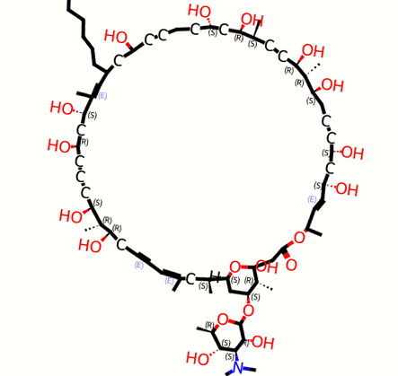 CCCCCCC1/C=C(\C)[C@@H](O)C[C@H](O)CCC[C@H](O)[C@@H](C)[C@H](O)C/C=C/C=C(\C)C[C@H](C)[C@@H]2C[C@H](OC3O[C@H](C)[C@@H](O)[C@H](N(C)C)[C@H]3O)[C@@H](C)C(O)(CC(=O)OC(C)/C=C/[C@@H](O)C[C@@H](O)CCC[C@H](O)[C@@H](C)[C@H](O)CC[C@H](C)[C@H](O)C[C@@H](O)CCCCC(O)C1)O2